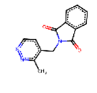 Cc1nnccc1CN1C(=O)c2ccccc2C1=O